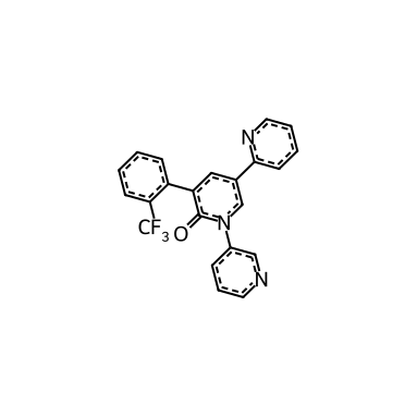 O=c1c(-c2ccccc2C(F)(F)F)cc(-c2ccccn2)cn1-c1cccnc1